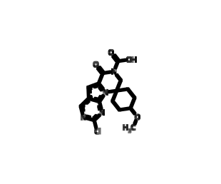 COC1CCC2(CC1)CN(C(=O)O)C(=O)c1cc3cnc(Cl)nc3n12